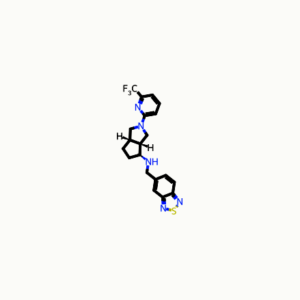 FC(F)(F)c1cccc(N2C[C@H]3CC[C@H](NCc4ccc5nsnc5c4)[C@H]3C2)n1